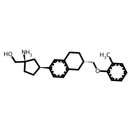 Cc1ccccc1OC[C@H]1CCc2cc([C@H]3CC[C@](N)(CO)C3)ccc2C1